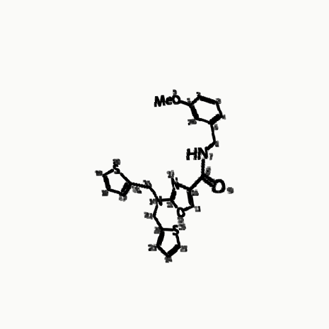 COc1cccc(CNC(=O)c2coc(N(Cc3cccs3)Cc3cccs3)n2)c1